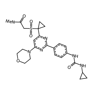 CNC(=O)CS(=O)(=O)C1(c2cc(N3CCOCC3)nc(-c3ccc(NC(=O)NC4CC4)cc3)n2)CC1